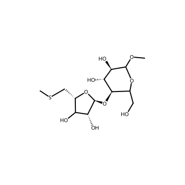 COC1OC(CO)[C@@H](O[C@@H]2O[C@@H](CSC)C(O)[C@H]2O)[C@H](O)[C@H]1O